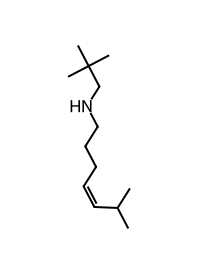 CC(C)/C=C\CCCNCC(C)(C)C